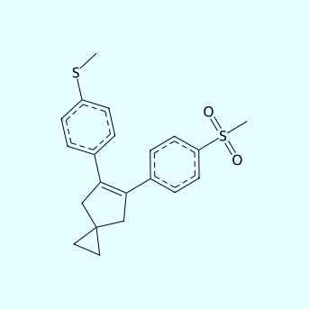 CSc1ccc(C2=C(c3ccc(S(C)(=O)=O)cc3)CC3(CC3)C2)cc1